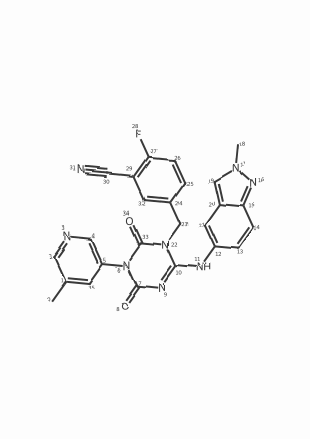 Cc1cncc(-n2c(=O)nc(Nc3ccc4nn(C)cc4c3)n(Cc3ccc(F)c(C#N)c3)c2=O)c1